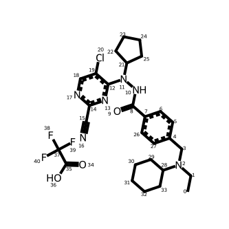 CCN(Cc1ccc(C(=O)NN(c2nc(C#N)ncc2Cl)C2CCCC2)cc1)C1CCCCC1.O=C(O)C(F)(F)F